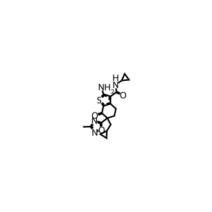 Cc1noc(C2(CC3CC3)CCc3c(sc(N)c3C(=O)NC3CC3)C2=O)n1